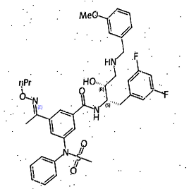 CCCO/N=C(\C)c1cc(C(=O)N[C@@H](Cc2cc(F)cc(F)c2)[C@H](O)CNCc2cccc(OC)c2)cc(N(c2ccccc2)S(C)(=O)=O)c1